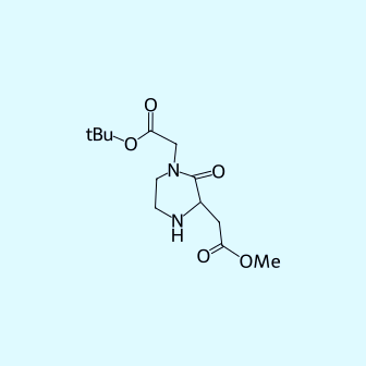 COC(=O)CC1NCCN(CC(=O)OC(C)(C)C)C1=O